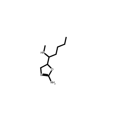 CCCCC(NC)C1CN=C(N)O1